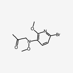 COc1nc(Br)ccc1N(CC(C)=O)OC